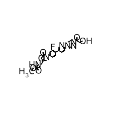 COC(=O)NCC1CN(c2ccc(-c3ccc(N4C=NN(C(=O)CO)CC4)nc3)c(F)c2)C(=O)O1